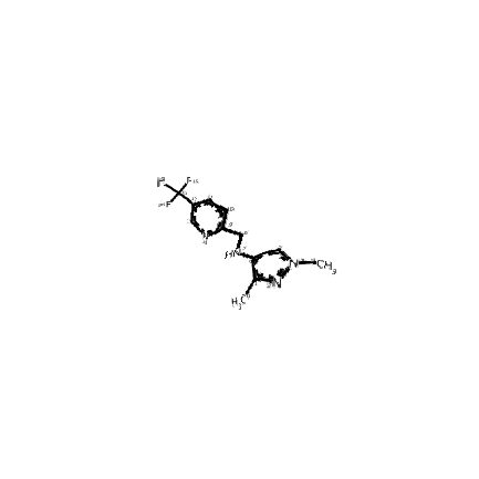 Cc1nn(C)cc1NCc1ccc(C(F)(F)F)cn1